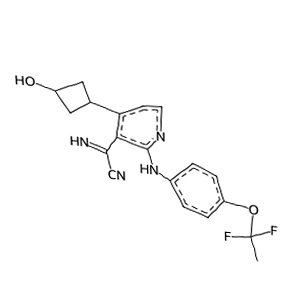 CC(F)(F)Oc1ccc(Nc2nccc(C3CC(O)C3)c2C(=N)C#N)cc1